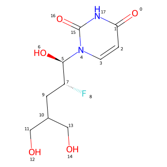 O=c1ccn([C@H](O)[C@H](F)CC(CO)CO)c(=O)[nH]1